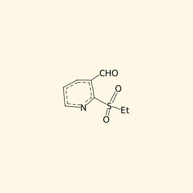 CCS(=O)(=O)c1ncccc1C=O